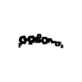 O=C(NC1CCN(CCCC(F)(F)F)CC1)c1ccc(-c2cccc(F)c2)nc1